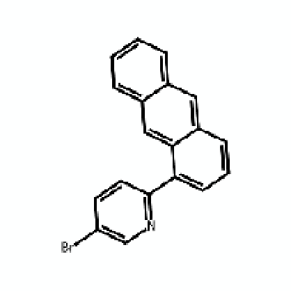 Brc1ccc(-c2cccc3cc4ccccc4cc23)nc1